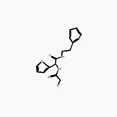 O=C(CCl)NC(C(=O)NCCc1ccccc1)c1cccs1